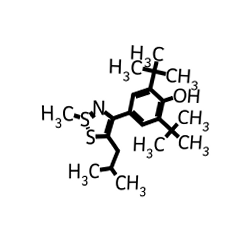 CC(C)CC1=C(c2cc(C(C)(C)C)c(O)c(C(C)(C)C)c2)N=S(C)S1